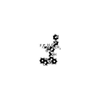 CC(C)(c1ccn(-c2cccnc2)n1)N1CCN(C[C@@H](O)C[C@@H](CC2=CCCC=C2)C(=O)N[C@H]2c3ccccc3OC[C@H]2O)[C@H](C(=O)NCC(F)(F)F)C1